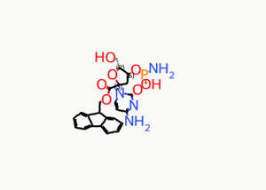 Nc1ccn([C@@]2(C(=O)OCC3c4ccccc4-c4ccccc43)C[C@H](OP(N)O)[C@@H](CO)O2)c(=O)n1